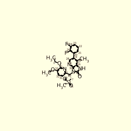 CCOc1nc([C@@H](CS(C)(=O)=O)n2c(=O)[nH]c3c(C)c(-c4cccc(F)c4F)cnc32)ccc1OC